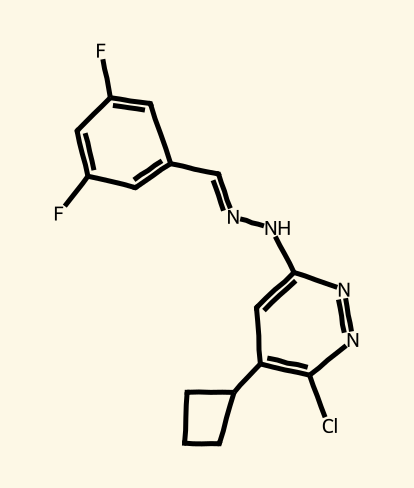 Fc1cc(F)cc(C=NNc2cc(C3CCC3)c(Cl)nn2)c1